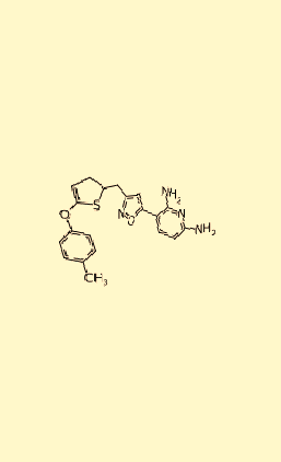 Cc1ccc(OC2=CCC(Cc3cc(-c4ccc(N)nc4N)on3)S2)cc1